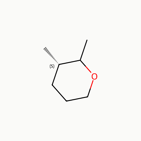 CC1OCCC[C@@H]1C